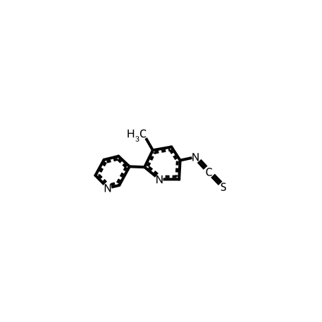 Cc1cc(N=C=S)cnc1-c1cccnc1